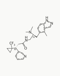 Cc1c(C[C@@H](CNC(=O)C[C@H](c2cccnc2)C2(C(F)(F)F)CC2)N(C)C)ccc2[nH]ncc12